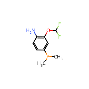 CP(C)c1ccc(N)c(OC(F)F)c1